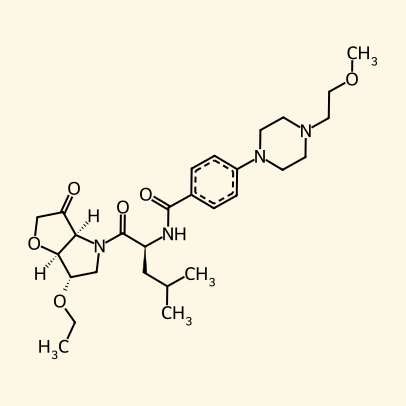 CCO[C@H]1CN(C(=O)[C@H](CC(C)C)NC(=O)c2ccc(N3CCN(CCOC)CC3)cc2)[C@@H]2C(=O)CO[C@H]12